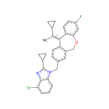 N#C/C(=C1\c2ccc(Cn3c(C4CC4)nc4c(Cl)cccc43)cc2COc2cc(F)ccc21)C1CC1